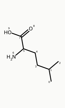 CC(C)CCC(N)C(=O)O